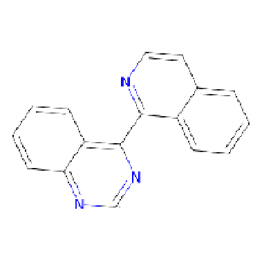 [c]1nc(-c2nccc3ccccc23)c2ccccc2n1